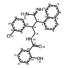 N=C(N)C(c1cccc2ccccc12)C(CNC(=O)c1ccccc1O)c1cccc(Cl)c1